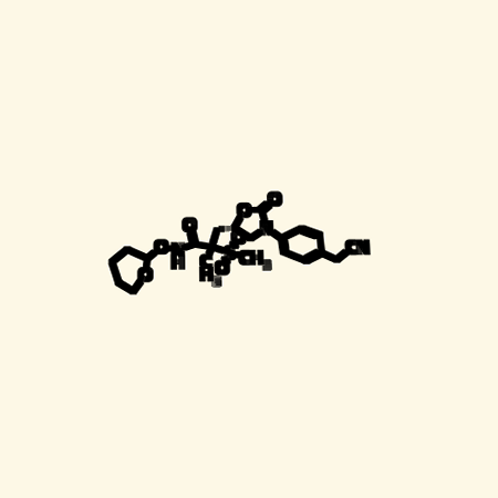 CC(C[C@H]1CN(c2ccc(CC#N)cc2)C(=O)O1)(C(=O)NOC1CCCCO1)S(C)(=O)=O